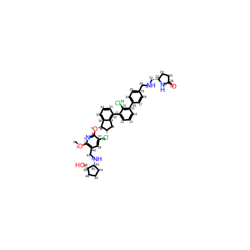 COc1nc(O[C@H]2CCc3c(-c4cccc(-c5ccc(CNC[C@@H]6CCC(=O)N6)cc5)c4Cl)cccc32)c(Cl)cc1CN[C@@H]1CCC[C@@H]1O